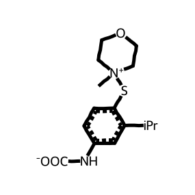 CC(C)c1cc(NC(=O)[O-])ccc1S[N+]1(C)CCOCC1